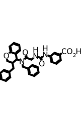 O=C(NCC(=O)N(Cc1ccccc1)C1c2ccccc2OCC1Cc1ccccc1)Nc1cccc(C(=O)O)c1